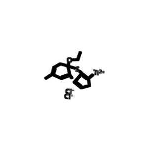 CCOC1(SC2=[C]([Ti+2])CC=C2)CC=C(C)C=C1C.[Cl-].[Cl-]